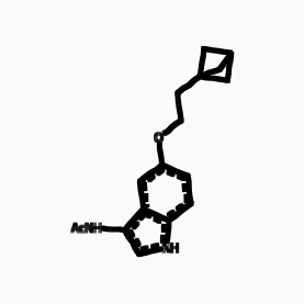 CC(=O)Nc1c[nH]c2ccc(OCCC34CC(C3)C4)cc12